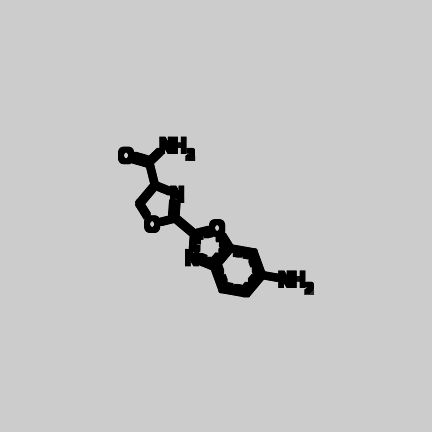 NC(=O)C1COC(c2nc3ccc(N)cc3o2)=N1